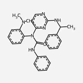 CC(Nc1nccc(N(C(=O)Nc2ccccc2)c2ccccc2N(C)C)n1)c1ccccc1